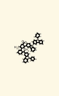 Cc1cc2c(=O)oc3cc4c(cc3c2cc1-c1ccccc1C(C)c1ccc2c(c1)c1ccccc1n2-c1ccccc1)c1ccccc1n4-c1ccc2c(c1)c1ccccc1n2-c1ccccc1